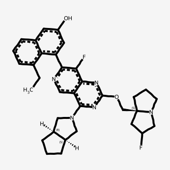 CCc1cccc2cc(O)cc(-c3ncc4c(N5C[C@H]6CCC[C@H]6C5)nc(OC[C@@]56CCCN5CC(F)C6)nc4c3F)c12